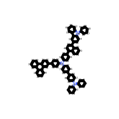 c1ccc(N(c2ccccc2)c2ccc(-c3ccc(N(c4ccc(-c5ccc6c7ccccc7c7ccccc7c6c5)cc4)c4ccc(-c5ccc(-c6ccc7c(c6)c6ccccc6n7-c6ccccc6)c6ccccc56)cc4)cc3)cc2)cc1